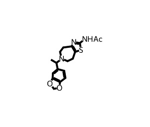 CC(=O)Nc1nc2c(s1)CCN(C(C)c1ccc3c(c1)OCO3)CC2